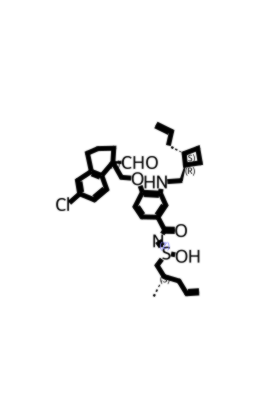 C=CC[C@H](C)C/S(O)=N/C(=O)c1ccc(OC[C@@]2(C=O)CCCc3cc(Cl)ccc32)c(NC[C@@H]2CC[C@H]2CC=C)c1